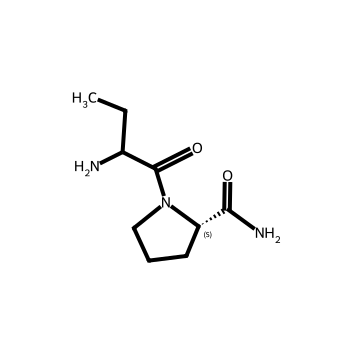 CCC(N)C(=O)N1CCC[C@H]1C(N)=O